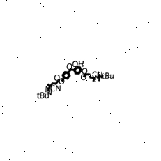 CC(C)(C)N=NC(C)(C#N)CCC(=O)Oc1ccc(C(=O)c2ccc(OC(=O)CCC(C)(C#N)N=NC(C)(C)C)cc2O)cc1